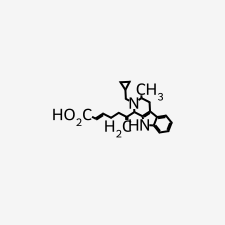 C=C(CC/C=C/C(=O)O)C1c2[nH]c3ccccc3c2CC(C)N1CC1CC1